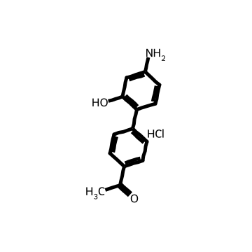 CC(=O)c1ccc(-c2ccc(N)cc2O)cc1.Cl